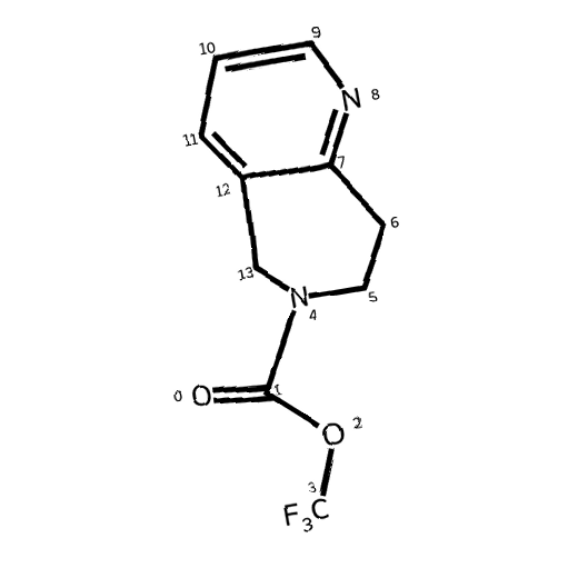 O=C(OC(F)(F)F)N1CCc2ncccc2C1